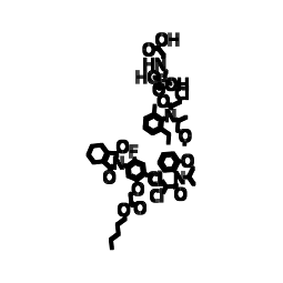 CC1COc2ccccc2N1C(=O)C(Cl)Cl.CCCCCOC(=O)COc1cc(N2C(=O)C3=C(CCCC3)C2=O)c(F)cc1Cl.CCc1cccc(C)c1N(C(=O)CCl)C(C)COC.O=C(O)CNCP(=O)(O)O